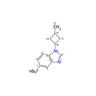 CCCCc1ccc2c(c1)ncn2C1CC(C)C1